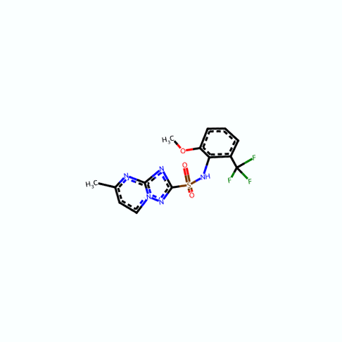 COc1cccc(C(F)(F)F)c1NS(=O)(=O)c1nc2nc(C)ccn2n1